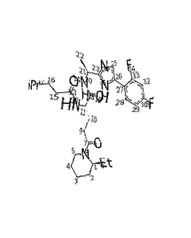 CC[C@H]1CCCCN1C(=O)CC[C@H](NC(=O)CCC(C)C)C(=O)N[C@@H](C)c1ncc(-c2ccc(F)cc2F)[nH]1